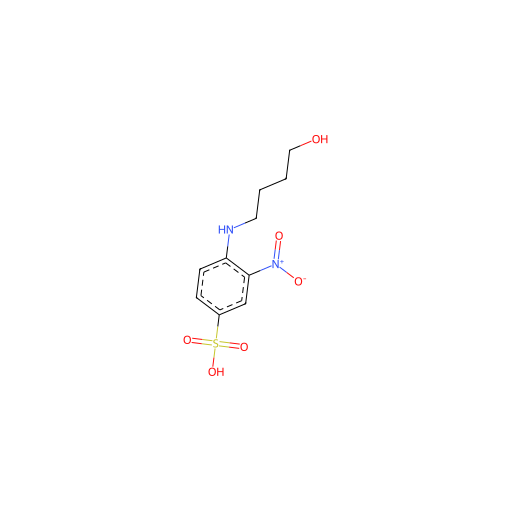 O=[N+]([O-])c1cc(S(=O)(=O)O)ccc1NCCCCO